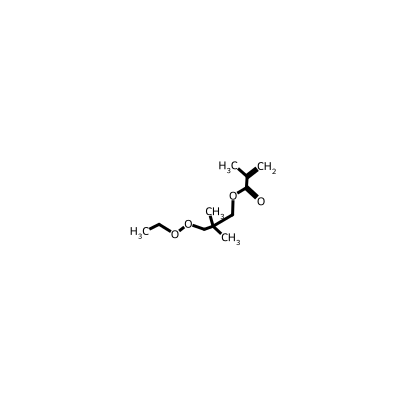 C=C(C)C(=O)OCC(C)(C)COOCC